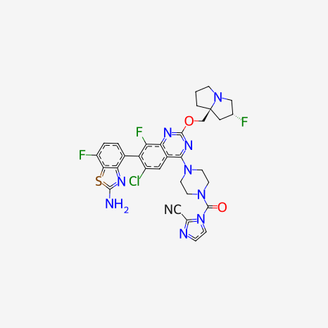 N#Cc1nccn1C(=O)N1CCN(c2nc(OC[C@@]34CCCN3C[C@H](F)C4)nc3c(F)c(-c4ccc(F)c5sc(N)nc45)c(Cl)cc23)CC1